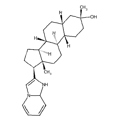 C[C@@]1(O)CC[C@H]2[C@H](CC[C@@H]3[C@@H]2CC[C@]2(C)[C@@H](C4=CN5C=CC=CC5N4)CC[C@@H]32)C1